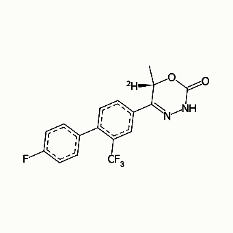 [2H][C@@]1(C)OC(=O)NN=C1c1ccc(-c2ccc(F)cc2)c(C(F)(F)F)c1